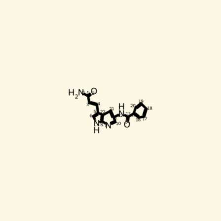 NC(=O)C=Cc1c[nH]c2ncc(NC(=O)c3ccccc3)cc12